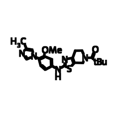 COc1cc(Nc2nc3c(s2)CN(C(=O)C(C)(C)C)CC3)ccc1-n1cnc(C)c1